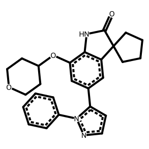 O=C1Nc2c(OC3CCOCC3)cc(-c3ccnn3-c3ccccc3)cc2C12CCCC2